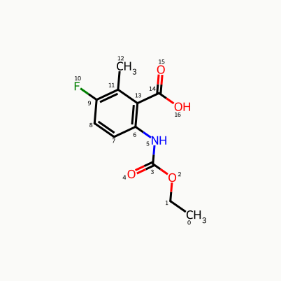 CCOC(=O)Nc1ccc(F)c(C)c1C(=O)O